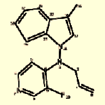 C=CCN(c1ccncc1F)n1cc(C)c2ccccc21